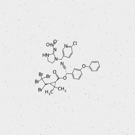 CC1(C)[C@H](C(=O)O[C@H](C#N)c2cccc(Oc3ccccc3)c2)[C@@H]1C(Br)C(Br)(Br)Br.O=[N+]([O-])/N=C1\NCCN1Cc1ccc(Cl)nc1